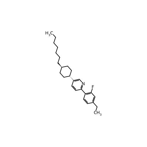 CCCCCCC[C@H]1CC[C@H](c2ccc(-c3ccc(CC)cc3F)nc2)CC1